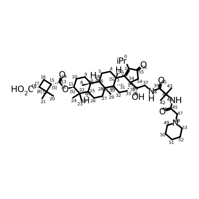 CC(C)C1=C2[C@H]3CC[C@@H]4[C@@]5(C)CC[C@H](OC(=O)[C@H]6C[C@@H](C(=O)O)C6(C)C)C(C)(C)[C@@H]5CC[C@@]4(C)[C@]3(C)CC[C@@]2([C@@H](O)CNC(=O)C(C)(C)NC(=O)CN2CCCCC2)CC1=O